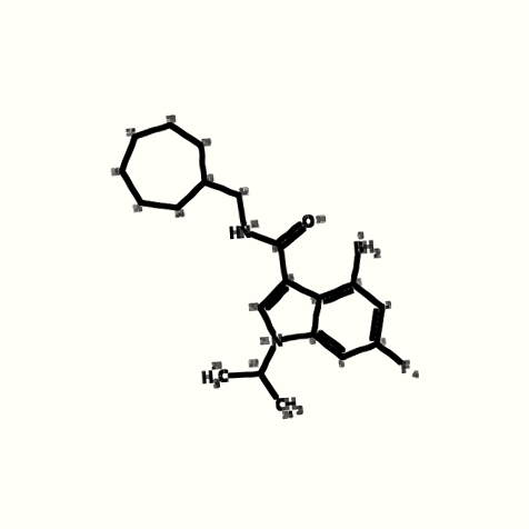 Bc1cc(F)cc2c1c(C(=O)NCC1CCCCCC1)cn2C(C)C